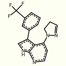 FC(F)(F)c1cccc(-c2c[nH]c3nccc(N4CCC=N4)c23)c1